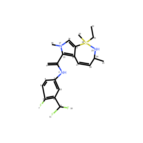 C=C(Nc1ccc(F)c(C(F)F)c1)c1c2c(cn1C)S(C)(CC)NC(C)C=C2